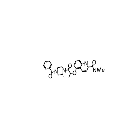 CNC(=O)c1ccc2c(OC(C)C(=O)N3CCN(C(=O)c4ccccc4)C[C@H]3C)cccc2n1